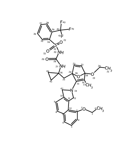 CCOc1cccc2ccc3c(c12)CN(C1=C(C)C2(OCC)C=CC1(CC1(NC(=O)NS(=O)(=O)c4ccccc4C(F)(F)F)CC1)O2)C3